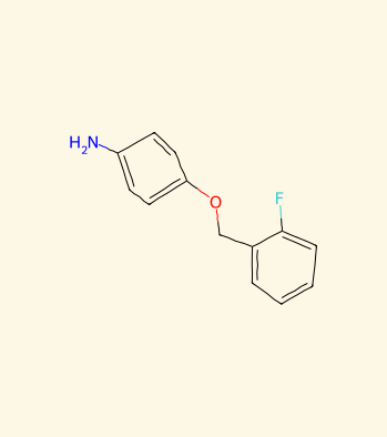 Nc1ccc(OCc2ccccc2F)cc1